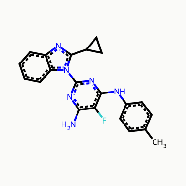 Cc1ccc(Nc2nc(-n3c(C4CC4)nc4ccccc43)nc(N)c2F)cc1